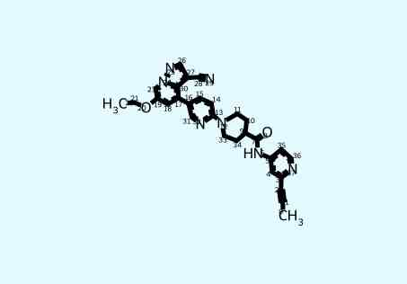 CC#Cc1cc(NC(=O)C2CCN(c3ccc(-c4cc(OCC)cn5ncc(C#N)c45)cn3)CC2)ccn1